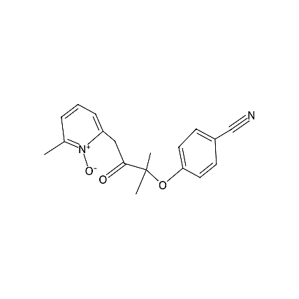 Cc1cccc(CC(=O)C(C)(C)Oc2ccc(C#N)cc2)[n+]1[O-]